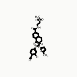 Cc1ccc([C@H]2[C@H]3CCc4cc(C(=O)NCCS(C)(=O)=O)ccc4C3=NN2c2ccc(C#N)c(Cl)c2)o1